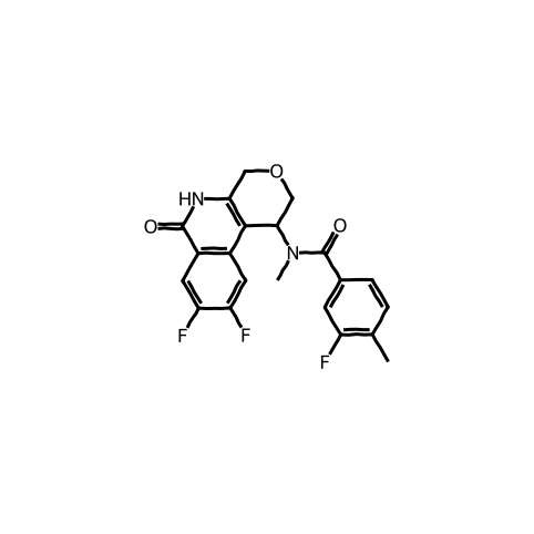 Cc1ccc(C(=O)N(C)C2COCc3[nH]c(=O)c4cc(F)c(F)cc4c32)cc1F